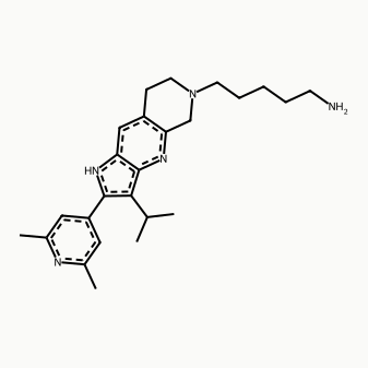 Cc1cc(-c2[nH]c3cc4c(nc3c2C(C)C)CN(CCCCCN)CC4)cc(C)n1